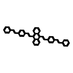 C(=Cc1ccc(C=Cc2c3ccccc3c(C=Cc3ccc(C=Cc4ccccc4)cc3)c3ccccc23)cc1)c1ccccc1